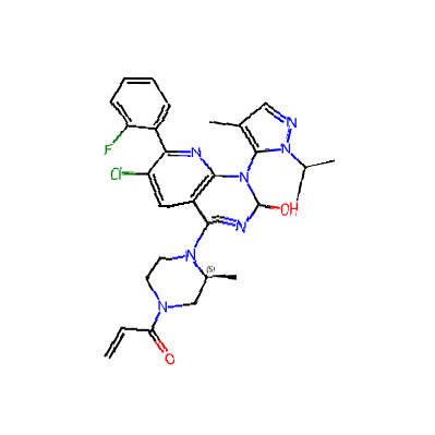 C=CC(=O)N1CCN(C2=NC(O)N(c3c(C)cnn3C(C)C)c3nc(-c4ccccc4F)c(Cl)cc32)[C@@H](C)C1